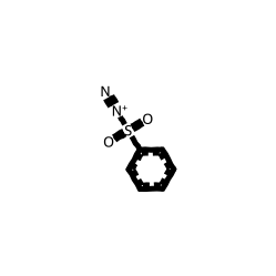 N#[N+]S(=O)(=O)c1ccccc1